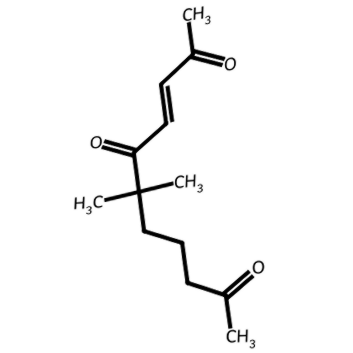 CC(=O)C=CC(=O)C(C)(C)CCCC(C)=O